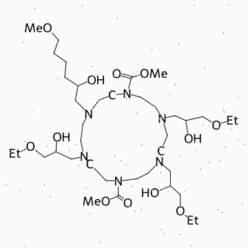 CCOCC(O)CN1CCN(CC(O)COCC)CCN(C(=O)OC)CCN(CC(O)COCC)CCN(CC(O)CCCCOC)CCN(C(=O)OC)CC1